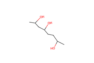 CC(O)CCC(O)CC(C)O